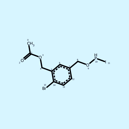 CC(=O)OCc1cc(COPI)ccc1Br